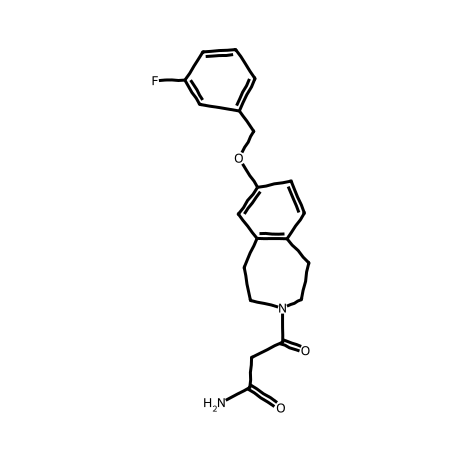 NC(=O)CC(=O)N1CCc2ccc(OCc3cccc(F)c3)cc2CC1